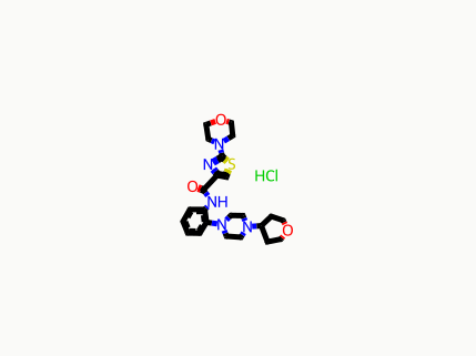 Cl.O=C(Nc1ccccc1N1CCN(C2CCOCC2)CC1)c1csc(N2CCOCC2)n1